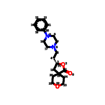 O=C1O[C@@H](CCN2CCN(c3ccccc3)CC2)CC12CCOCC2